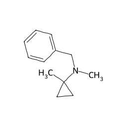 CN(Cc1ccccc1)C1(C)CC1